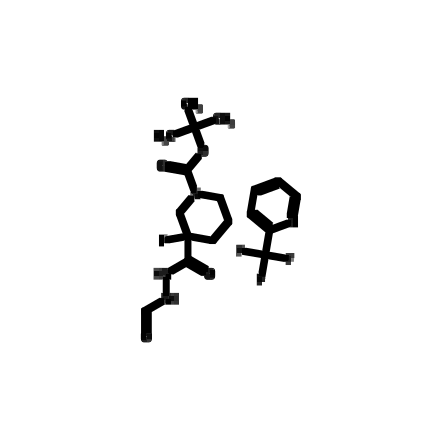 CC(C)(C)OC(=O)N1CCCC(F)(C(=O)NNC=O)C1.FC(F)(F)c1ccccn1